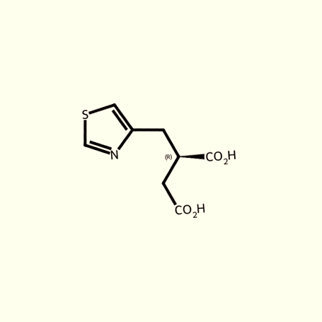 O=C(O)C[C@@H](Cc1cscn1)C(=O)O